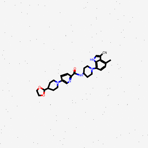 Cc1ccc(N2CCC(NC(=O)c3ccc(N4CCC(C5OCCO5)CC4)cn3)CC2)c2[nH]cc(C#N)c12